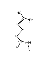 CC(C)/C(O)=C\CCN(C)NI